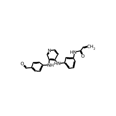 C=CC(=O)Nc1cccc(Nc2ccncc2Nc2ccc(C=O)cc2)c1